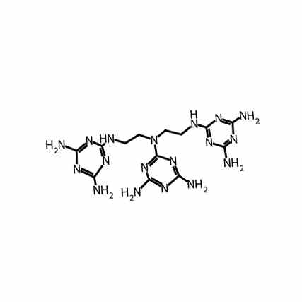 Nc1nc(N)nc(NCCN(CCNc2nc(N)nc(N)n2)c2nc(N)nc(N)n2)n1